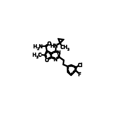 Cc1oc2nc(CCc3ccc(F)c(Cl)c3)nc(NC3(C)CC3)c2c1C(N)=O